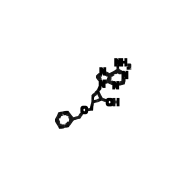 Nc1ncnc2c1ncn2[C@@H]1C[C@H](COCc2ccccc2)C1O